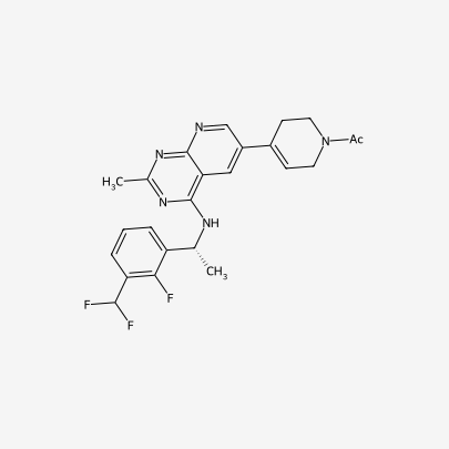 CC(=O)N1CC=C(c2cnc3nc(C)nc(N[C@H](C)c4cccc(C(F)F)c4F)c3c2)CC1